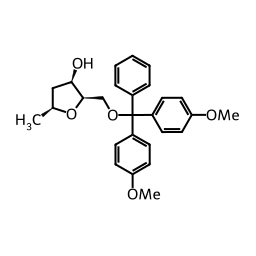 COc1ccc(C(OC[C@H]2O[C@@H](C)C[C@H]2O)(c2ccccc2)c2ccc(OC)cc2)cc1